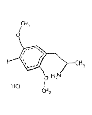 COc1cc(CC(C)N)c(OC)cc1I.Cl